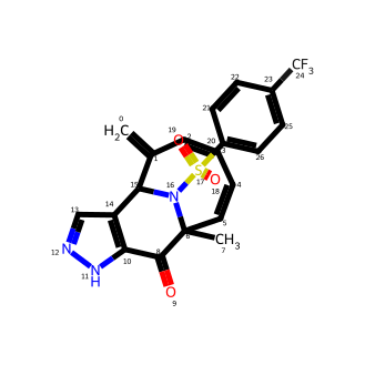 C=C1/C=C\C=C/C2(C)C(=O)c3[nH]ncc3C1N2S(=O)(=O)c1ccc(C(F)(F)F)cc1